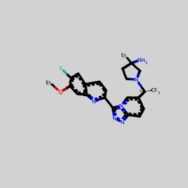 CCOc1cc2nc(-c3nnc4ccc([C@H](N5CCC(N)(CC)C5)C(F)(F)F)cn34)ccc2cc1F